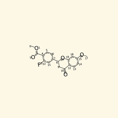 COC(=O)c1ccc(C2CC(=O)c3ccc(OC)cc3O2)cc1F